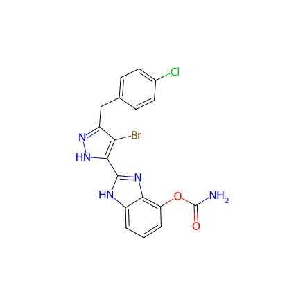 NC(=O)Oc1cccc2[nH]c(-c3[nH]nc(Cc4ccc(Cl)cc4)c3Br)nc12